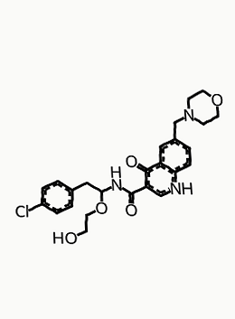 O=C(NC(Cc1ccc(Cl)cc1)OCCO)c1c[nH]c2ccc(CN3CCOCC3)cc2c1=O